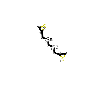 C([Se]CC1CS1)[Se]CC1CS1